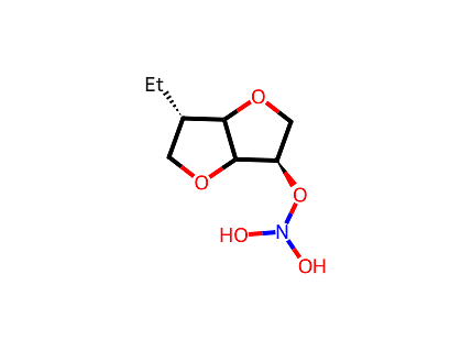 CC[C@H]1COC2C1OC[C@H]2ON(O)O